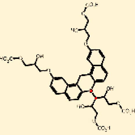 O=C(O)OCC(O)COc1ccc2ccc(OCC(O)COC(=O)O)c(Cc3c(OCC(O)COC(=O)O)ccc4ccc(OCC(O)COC(=O)O)cc34)c2c1